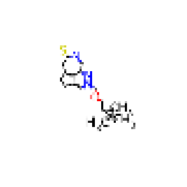 C[Si](C)(C)CCOCN1C=C2CCC3=C2C(=N1)C=NC(=S)C3